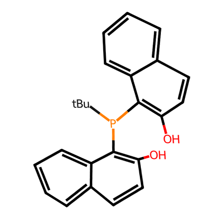 CC(C)(C)P(c1c(O)ccc2ccccc12)c1c(O)ccc2ccccc12